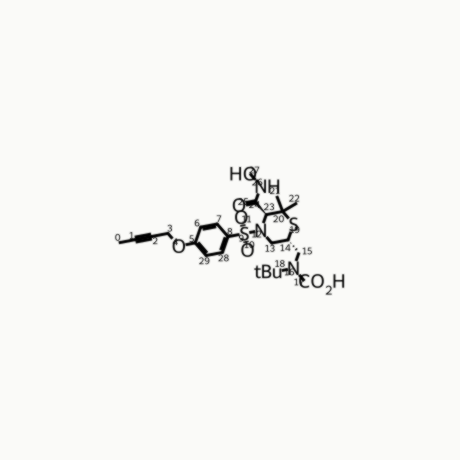 CC#CCOc1ccc(S(=O)(=O)N2C[C@@H](CN(C(=O)O)C(C)(C)C)SC(C)(C)[C@@H]2C(=O)NO)cc1